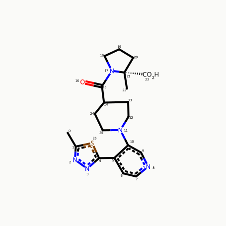 Cc1nnc(-c2ccncc2N2CCC(C(=O)N3CCC[C@]3(C)C(=O)O)CC2)s1